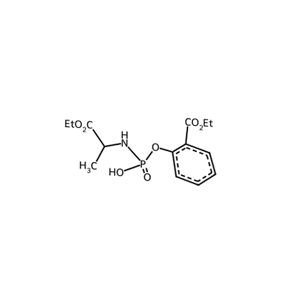 CCOC(=O)c1ccccc1OP(=O)(O)NC(C)C(=O)OCC